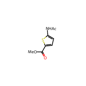 COC(=O)c1ccc(NC(C)=O)s1